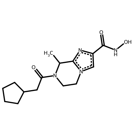 CC1c2nc(C(=O)NO)cn2CCN1C(=O)CC1CCCC1